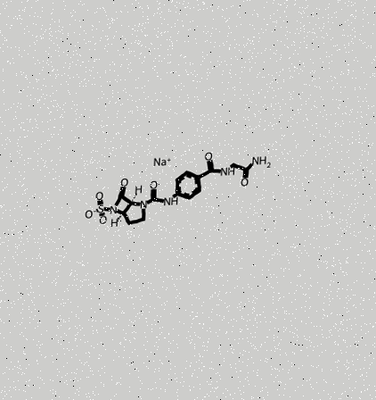 NC(=O)CNC(=O)c1ccc(NC(=O)N2CC[C@@H]3[C@H]2C(=O)N3S(=O)(=O)[O-])cc1.[Na+]